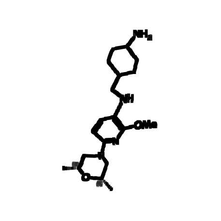 COc1nc(N2C[C@@H](C)O[C@@H](C)C2)ccc1NCC1CCC(N)CC1